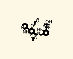 COCCOc1cc2c(NCc3cccc(C(F)(F)C(C)(C)O)c3F)nc(C)nc2cc1-c1cccnc1N